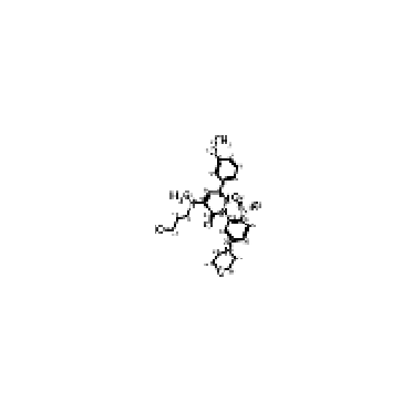 COc1cccc(-c2cc(N(C)CCCO)c(=O)n(-c3cc(N4CCOCC4)ccc3[N+](=O)[O-])n2)c1